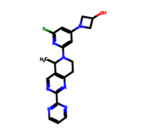 CC1c2cnc(-c3ncccn3)nc2CCN1c1cc(N2CC(O)C2)cc(F)n1